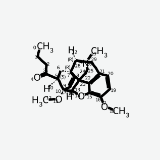 CCCC(=O)[C@H]1C[C@@]23C=C[C@@]1(OC)[C@@H]1Oc4c(OC)ccc5c4C12CCN(C)[C@@H]3C5